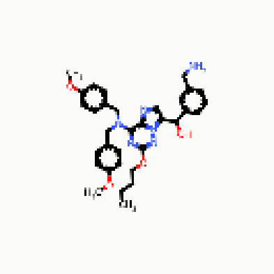 CCCCOc1nc(N(Cc2ccc(OC)cc2)Cc2ccc(OC)cc2)c2ncc(C(O)c3cccc(CN)c3)n2n1